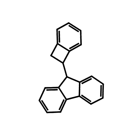 c1ccc2c(c1)CC2C1c2ccccc2-c2ccccc21